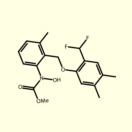 COC(=O)N(O)c1cccc(C)c1COc1cc(C)c(C)cc1C(F)F